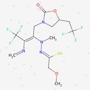 C=N/C(=C(/CN1CC(CC(F)(F)F)OC1=O)N(C)/N=C(\S)COC)C(F)(F)F